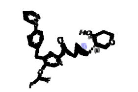 O=C(C/C=C/[C@H]1COCC[C@@H]1O)c1cc(Cc2ccc(-n3cccn3)cc2)c(OC(F)F)cn1